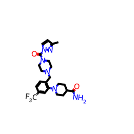 Cc1ccn(C(=O)N2CCN(Cc3ccc(C(F)(F)F)cc3N3CCC(C(N)=O)CC3)CC2)n1